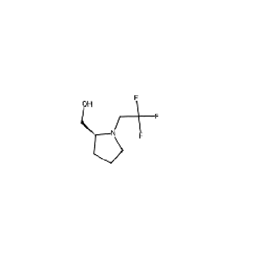 OC[C@@H]1CCCN1CC(F)(F)F